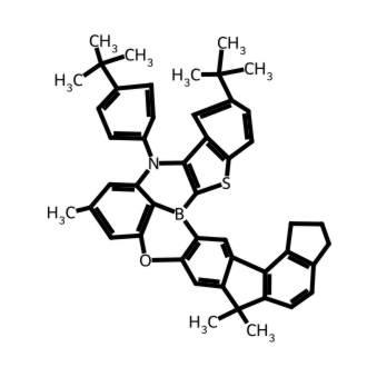 Cc1cc2c3c(c1)N(c1ccc(C(C)(C)C)cc1)c1c(sc4ccc(C(C)(C)C)cc14)B3c1cc3c(cc1O2)C(C)(C)c1ccc2c(c1-3)CCC2